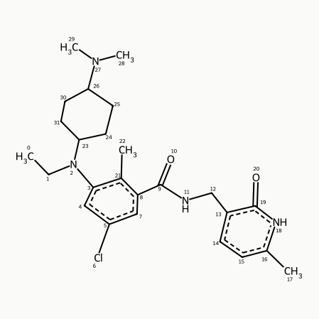 CCN(c1cc(Cl)cc(C(=O)NCc2ccc(C)[nH]c2=O)c1C)C1CCC(N(C)C)CC1